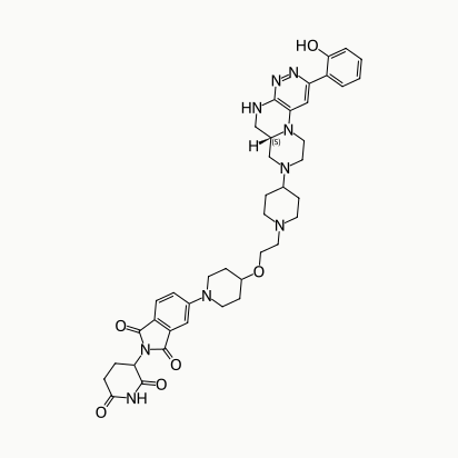 O=C1CCC(N2C(=O)c3ccc(N4CCC(OCCN5CCC(N6CCN7c8cc(-c9ccccc9O)nnc8NC[C@H]7C6)CC5)CC4)cc3C2=O)C(=O)N1